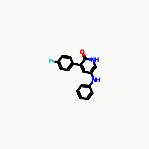 O=c1[nH]cc(Nc2ccccc2)cc1-c1ccc(F)cc1